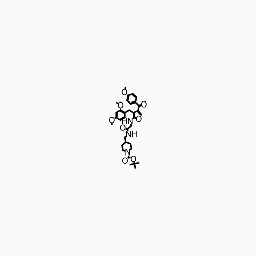 COc1ccc(C(=O)c2coc(NCC(=O)NCC3CCN(C(=O)OC(C)(C)C)CC3)c2Cc2ccc(OC)cc2OC)cc1